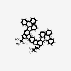 CC(C)(C)c1cc2cc3c(c4ccccc4n3-c3ccccc3-c3ccccc3)c3c4cc5c6c7c8ccccc8n(-c8ccccc8-c8ccccc8)c7cc7cc(C(C)(C)C)n(c5cc4n1c23)c76